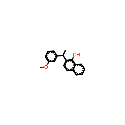 COc1cccc(C(C)c2ccc3ccccc3c2O)c1